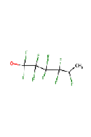 CC(F)C(F)(F)C(F)(F)C(F)(F)C([O])(F)F